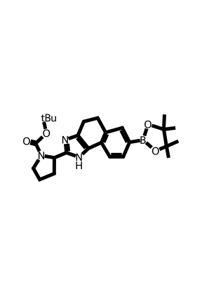 CC(C)(C)OC(=O)N1CCCC1c1nc2c([nH]1)-c1ccc(B3OC(C)(C)C(C)(C)O3)cc1CC2